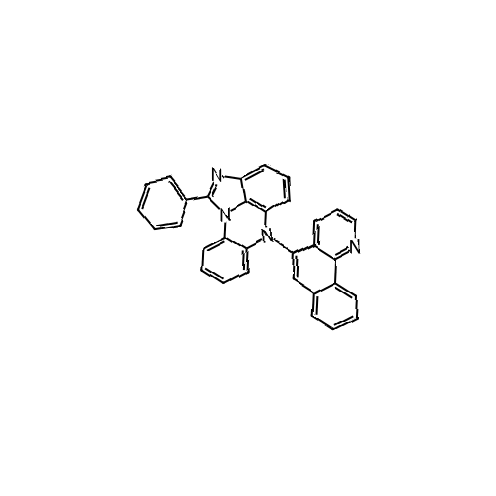 c1ccc(-c2nc3cccc4c3n2-c2ccccc2N4c2cc3ccccc3c3ncccc23)cc1